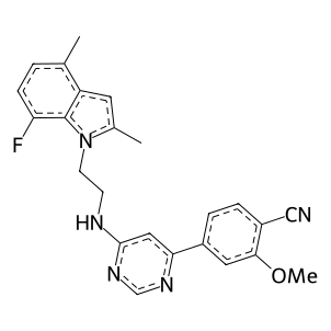 COc1cc(-c2cc(NCCn3c(C)cc4c(C)ccc(F)c43)ncn2)ccc1C#N